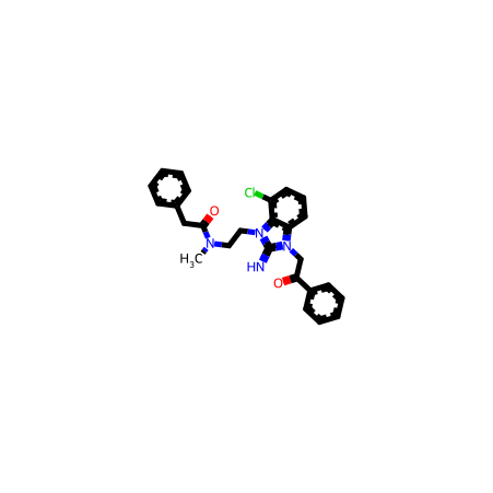 CN(CCn1c(=N)n(CC(=O)c2ccccc2)c2cccc(Cl)c21)C(=O)Cc1ccccc1